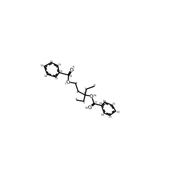 CCC(CC)(CCOC(=O)c1ccccc1)OC(=O)c1ccccc1